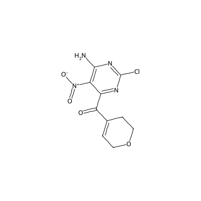 Nc1nc(Cl)nc(C(=O)C2=CCOCC2)c1[N+](=O)[O-]